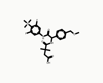 COCc1ccc(C(NC(=O)C(C)(C)CC(=O)O)C(=O)Nc2cc(F)c([Si](C)(C)C)c(F)c2)cc1